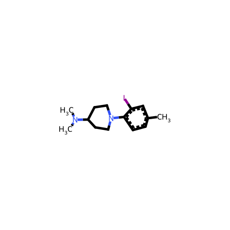 Cc1ccc(N2CCC(N(C)C)CC2)c(I)c1